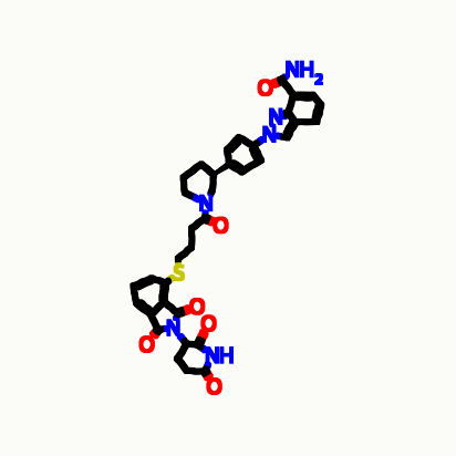 NC(=O)c1cccc2cn(-c3ccc([C@@H]4CCCN(C(=O)CCCSc5cccc6c5C(=O)N(C5CCC(=O)NC5=O)C6=O)C4)cc3)nc12